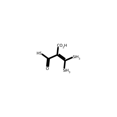 O=C(O)C(C(=O)S)=C([SiH3])[SiH3]